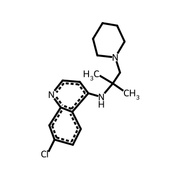 CC(C)(CN1CCCCC1)Nc1ccnc2cc(Cl)ccc12